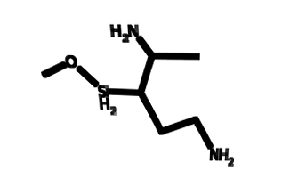 CO[SiH2]C(CCN)C(C)N